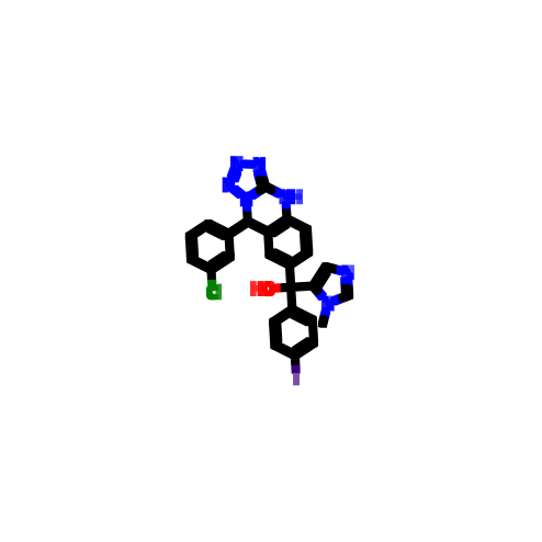 Cn1cncc1C(O)(c1ccc(I)cc1)c1ccc2c(c1)C(c1cccc(Cl)c1)n1nnnc1N2